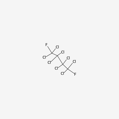 FC(Cl)(Cl)C(Cl)(Cl)C(Cl)(Cl)C(F)(Cl)Cl